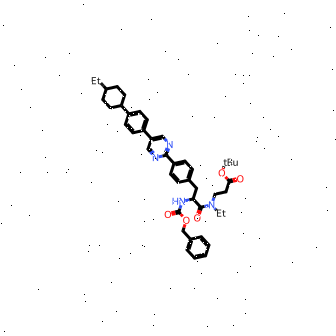 CCC1CCC(c2ccc(-c3cnc(-c4ccc(CC(NC(=O)OCc5ccccc5)C(=O)N(CC)CCC(=O)OC(C)(C)C)cc4)nc3)cc2)CC1